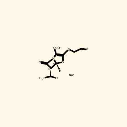 CC(O)[C@H]1C(=O)N2C(C(=O)[O-])=C(SCCF)S[C@H]12.[Na+]